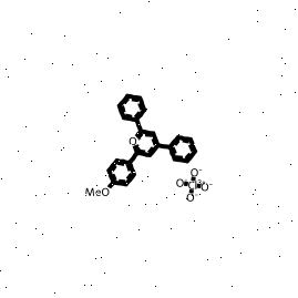 COc1ccc(-c2cc(-c3ccccc3)cc(-c3ccccc3)[o+]2)cc1.[O-][Cl+3]([O-])([O-])[O-]